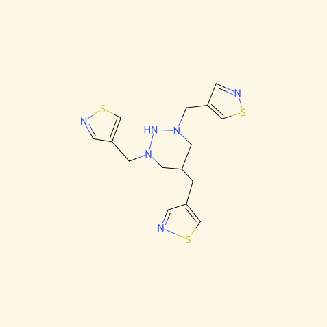 c1nscc1CC1CN(Cc2cnsc2)NN(Cc2cnsc2)C1